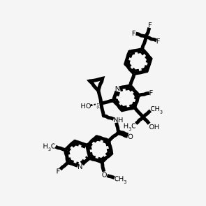 COc1cc(C(=O)NC[C@](O)(c2cc(C(C)(C)O)c(F)c(-c3ccc(C(F)(F)F)cc3)n2)C2CC2)cc2cc(C)c(F)nc12